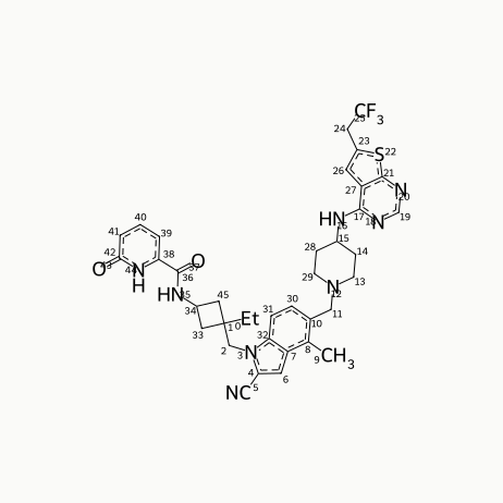 CCC1(Cn2c(C#N)cc3c(C)c(CN4CCC(Nc5ncnc6sc(CC(F)(F)F)cc56)CC4)ccc32)CC(NC(=O)c2cccc(=O)[nH]2)C1